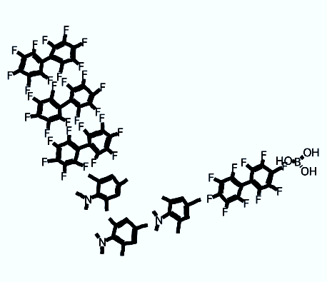 Cc1cc(C)c(N(C)C)c(C)c1.Cc1cc(C)c(N(C)C)c(C)c1.Cc1cc(C)c(N(C)C)c(C)c1.Fc1c(F)c(F)c(-c2c(F)c(F)c(F)c(F)c2F)c(F)c1F.Fc1c(F)c(F)c(-c2c(F)c(F)c(F)c(F)c2F)c(F)c1F.Fc1c(F)c(F)c(-c2c(F)c(F)c(F)c(F)c2F)c(F)c1F.Fc1c(F)c(F)c(-c2c(F)c(F)c(F)c(F)c2F)c(F)c1F.OB(O)O